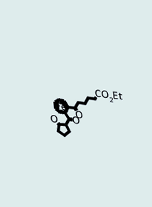 CCOC(=O)CCCCC(=O)[C]12[CH]3[CH]4[CH]5[C]1(C(=O)C1CCCC1=O)[Fe]43521678[CH]2[CH]1[CH]6[CH]7[CH]28